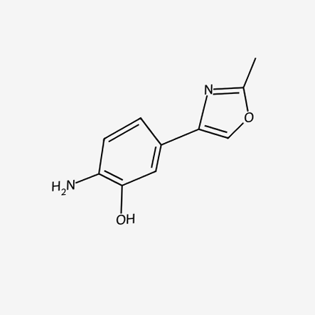 Cc1nc(-c2ccc(N)c(O)c2)co1